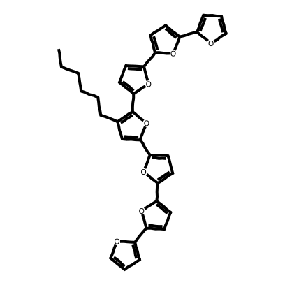 CCCCCCc1cc(-c2ccc(-c3ccc(-c4ccco4)o3)o2)oc1-c1ccc(-c2ccc(-c3ccco3)o2)o1